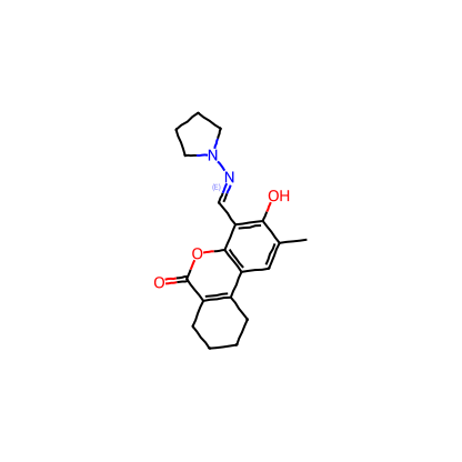 Cc1cc2c3c(c(=O)oc2c(/C=N/N2CCCC2)c1O)CCCC3